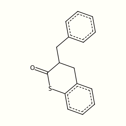 O=C1Sc2ccccc2CC1Cc1ccccc1